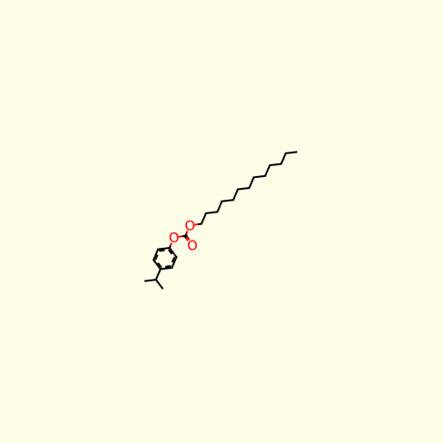 CCCCCCCCCCCCCOC(=O)Oc1ccc(C(C)C)cc1